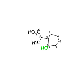 CC(C(=O)O)C1CCCCC1.Cl